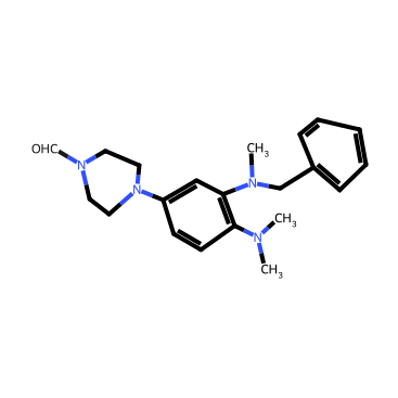 CN(C)c1ccc(N2CCN(C=O)CC2)cc1N(C)Cc1ccccc1